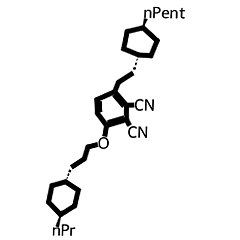 CCCCC[C@H]1CC[C@H](CCc2ccc(OCCC[C@H]3CC[C@H](CCC)CC3)c(C#N)c2C#N)CC1